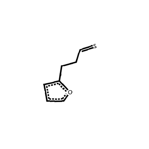 S=CCCc1ccco1